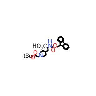 CC(C)(C)OC(=O)CN1CCC(C[C@@H](NC(=O)OCC2c3ccccc3-c3ccccc32)C(=O)O)CC1